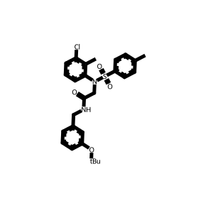 Cc1ccc(S(=O)(=O)N(CC(=O)NCc2cccc(OC(C)(C)C)c2)c2cccc(Cl)c2C)cc1